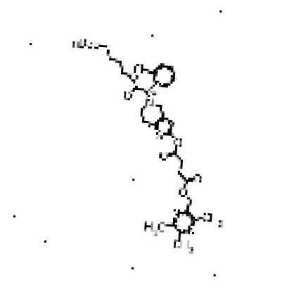 CCCCCCCCCCCCCCOC(=O)[C@H](c1ccccc1Cl)N1CCc2sc(OC(=O)CCC(=O)OCc3nc(C)c(C)nc3C)cc2C1